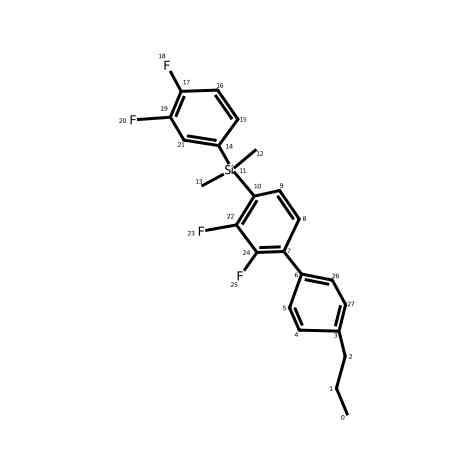 CCCc1ccc(-c2ccc([Si](C)(C)c3ccc(F)c(F)c3)c(F)c2F)cc1